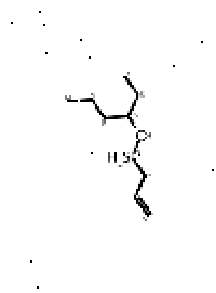 C=CC[SiH2]OC(CC)CCC